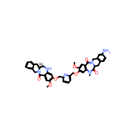 COc1cc2c(cc1OCc1cccc(COc3cc4c(cc3OC)C(=O)N3Cc5cc(N)ccc5CC3C(=O)N4C)n1)NC[C@@H]1Cc3ccccc3CN1C2=O